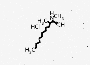 C#CC(NC)C(C)CCCCCCCCCC.Cl